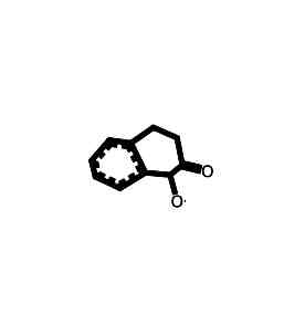 [O]C1C(=O)CCc2ccccc21